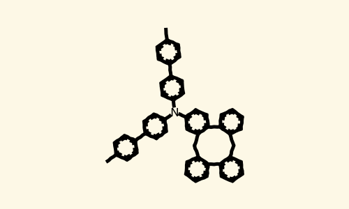 Cc1ccc(-c2ccc(N(c3ccc(-c4ccc(C)cc4)cc3)c3ccc4c(c3)Cc3ccccc3-c3ccccc3Cc3ccccc3-4)cc2)cc1